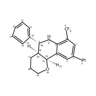 CC(C)c1cc2c(c(C(F)(F)F)c1)N[C@@H](c1ccccc1)[C@@H]1CCCO[C@H]21